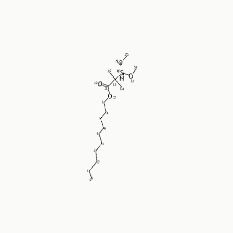 CCCCCCCCCCOC(=O)C(C)(C)[SiH](OC)OC